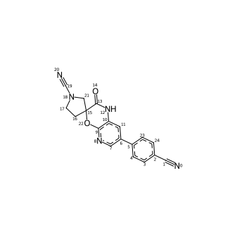 N#Cc1ccc(-c2cnc3c(c2)NC(=O)C2(CCN(C#N)C2)O3)cc1